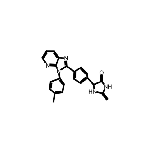 C=C1NC(=O)C(c2ccc(-c3nc4cccnc4n3-c3ccc(C)cc3)cc2)N1